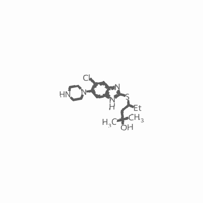 CCC(CC(C)(C)O)Sc1nc2cc(Cl)c(N3CCNCC3)cc2[nH]1